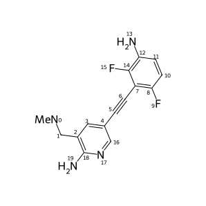 CNCc1cc(C#Cc2c(F)ccc(N)c2F)cnc1N